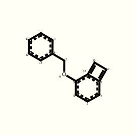 C1=c2cccc(OCc3ccccc3)c2=C1